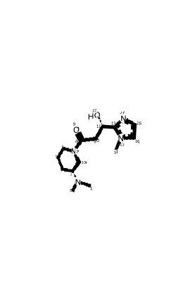 CN(C)[C@@H]1CCCN(C(=O)C[C@H](O)c2nccn2C)C1